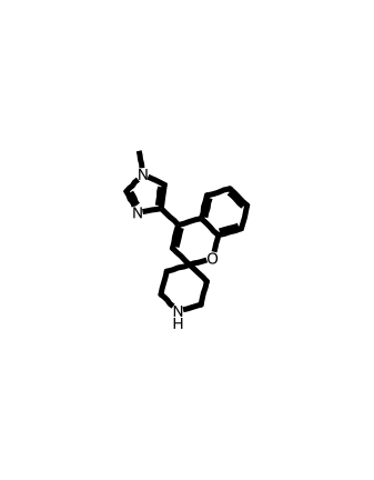 Cn1cnc(C2=CC3(CCNCC3)Oc3ccccc32)c1